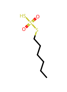 CCCCCCSS(=O)(=O)S